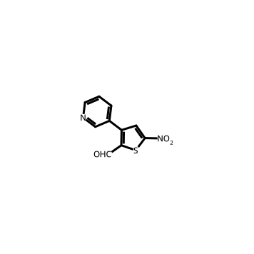 O=Cc1sc([N+](=O)[O-])cc1-c1cccnc1